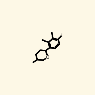 Cc1c(I)ccc(C2CCC(C)CO2)c1C